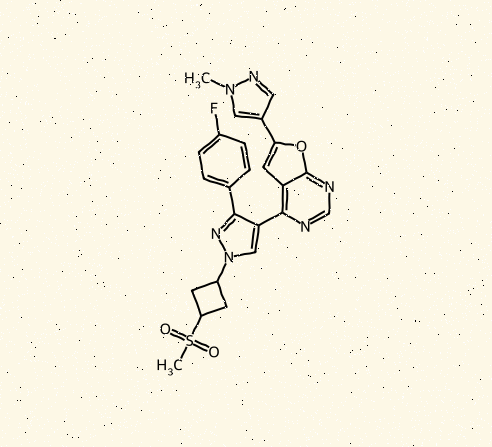 Cn1cc(-c2cc3c(-c4cn(C5CC(S(C)(=O)=O)C5)nc4-c4ccc(F)cc4)ncnc3o2)cn1